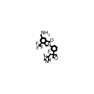 Cn1cnnc1[C@H](F)C1(c2cccc(N3Cc4c(cc(CN)cc4C(F)(F)F)C3=O)c2)COC1